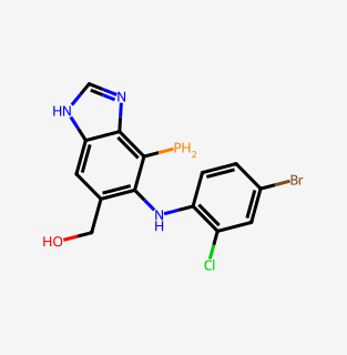 OCc1cc2[nH]cnc2c(P)c1Nc1ccc(Br)cc1Cl